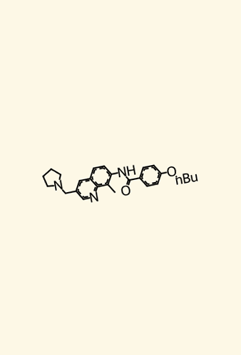 CCCCOc1ccc(C(=O)Nc2ccc3cc(CN4CCCC4)cnc3c2C)cc1